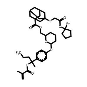 C=C(C)C(=O)OC(C)(CCC(F)(F)F)c1ccc(OC2CCCC(COC(=O)C34CC5CC(CC(OCC(=O)OC6(CC)CCCC6)(C5)C3)C4)O2)cc1